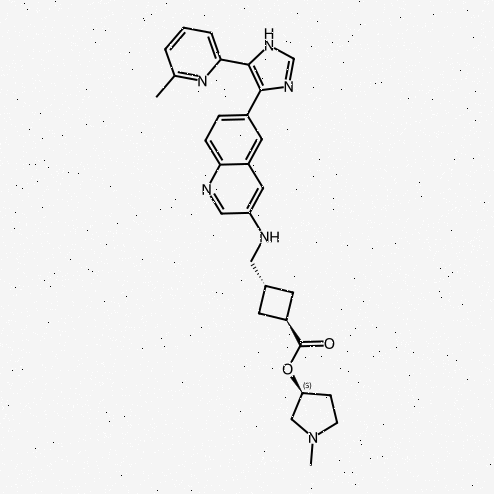 Cc1cccc(-c2[nH]cnc2-c2ccc3ncc(NC[C@H]4C[C@H](C(=O)O[C@H]5CCN(C)C5)C4)cc3c2)n1